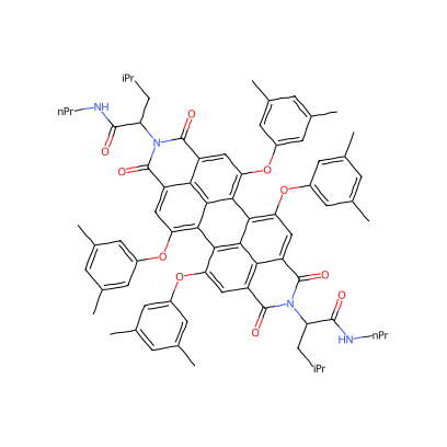 CCCNC(=O)C(CC(C)C)N1C(=O)c2cc(Oc3cc(C)cc(C)c3)c3c4c(Oc5cc(C)cc(C)c5)cc5c6c(cc(Oc7cc(C)cc(C)c7)c(c7c(Oc8cc(C)cc(C)c8)cc(c2c37)C1=O)c64)C(=O)N(C(CC(C)C)C(=O)NCCC)C5=O